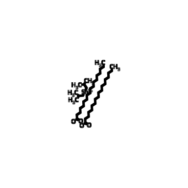 CC(C)[CH2][Sn+2][CH2]C(C)C.CCCCCCCCCCCCCCCCCC(=O)[O-].CCCCCCCCCCCCCCCCCC(=O)[O-]